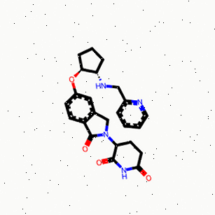 O=C1CCC(N2Cc3cc(O[C@H]4CCC[C@@H]4NCc4ccccn4)ccc3C2=O)C(=O)N1